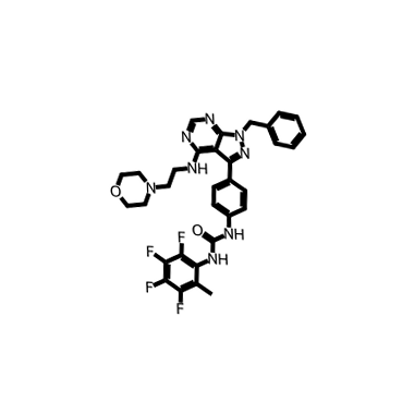 Cc1c(F)c(F)c(F)c(F)c1NC(=O)Nc1ccc(-c2nn(Cc3ccccc3)c3ncnc(NCCN4CCOCC4)c23)cc1